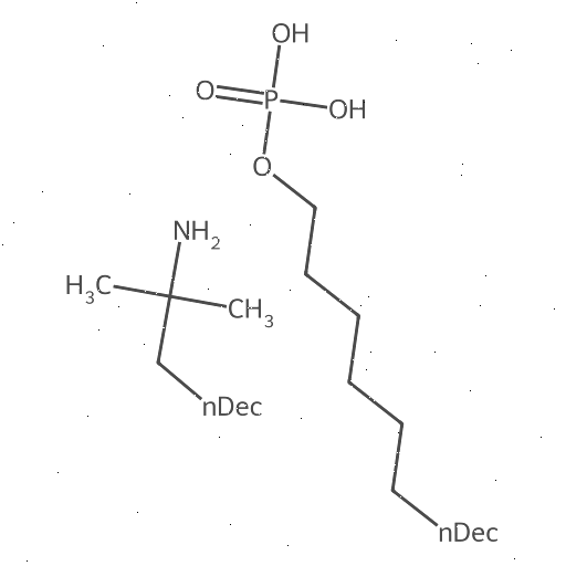 CCCCCCCCCCCC(C)(C)N.CCCCCCCCCCCCCCCCOP(=O)(O)O